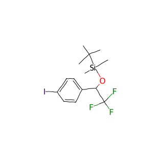 CC(C)(C)[Si](C)(C)OC(c1ccc(I)cc1)C(F)(F)F